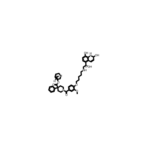 COc1cc(C(=O)N2CCC(C(=O)O[C@H]3CN4CCC3CC4)(c3ccccc3)CC2)ccc1OCCCCCNC[C@H](O)c1ccc(O)c2c1C=CC(O)N2